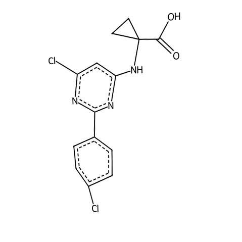 O=C(O)C1(Nc2cc(Cl)nc(-c3ccc(Cl)cc3)n2)CC1